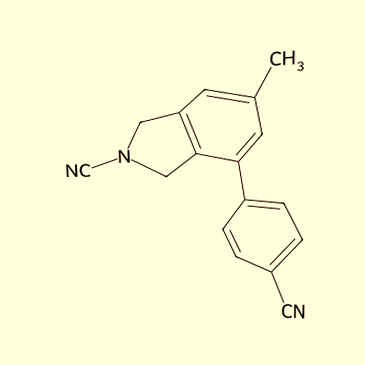 Cc1cc2c(c(-c3ccc(C#N)cc3)c1)CN(C#N)C2